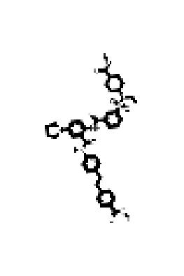 CCN(C1CCC(C(=O)OI)CC1)S(=O)(=O)c1cccc(C(=O)Nc2ccc(N3CCCC3)cc2C(=O)Nc2ccc(CCc3ccc(C(=O)OI)cc3)cc2)c1